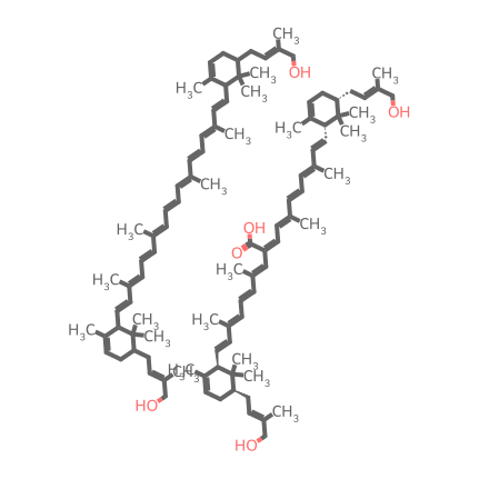 CC1=CCC(C/C=C(\C)CO)C(C)(C)C1/C=C/C(C)=C/C=C/C(C)=C/C=C/C=C(C)/C=C/C=C(C)/C=C/C1C(C)=CCC(C/C=C(\C)CO)C1(C)C.CC1=CC[C@H](C/C=C(\C)CO)C(C)(C)[C@@H]1/C=C/C(C)=C/C=C/C(C)=C/C=C(/C=C(C)/C=C/C=C(C)/C=C/[C@@H]1C(C)=CC[C@H](C/C=C(\C)CO)C1(C)C)C(=O)O